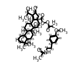 CC(=O)OOC(=O)[C@@]12CC[C@]3(C)[C@H](CC[C@@H]4[C@@]5(C)CCCC(C)(C)[C@@H]5CC[C@]43C)C1=C(C(C)C)C(=O)C2.COc1ccc(CCNC(C)=O)cc1